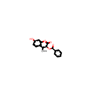 COc1c(OC(=O)c2ccccc2)c(=O)oc2cc(O)ccc12